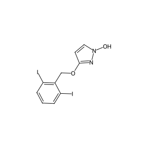 On1ccc(OCc2c(I)cccc2I)n1